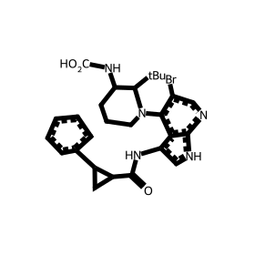 CC(C)(C)C1C(NC(=O)O)CCCN1c1c(Br)cnc2[nH]cc(NC(=O)C3CC3c3ccccc3)c12